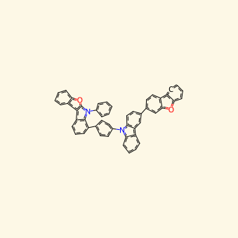 c1ccc(-n2c3oc4ccccc4c3c3cccc(-c4ccc(-n5c6ccccc6c6cc(-c7ccc8c(c7)oc7ccccc78)ccc65)cc4)c32)cc1